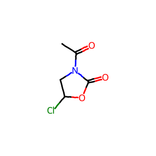 CC(=O)N1CC(Cl)OC1=O